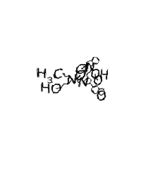 CCCCN(CCCO)C(=O)CN1C[C@H](c2ccc3c(c2)CCO3)[C@@H](C(=O)O)[C@@H]1CCN1C(=O)Cc2ccccc21